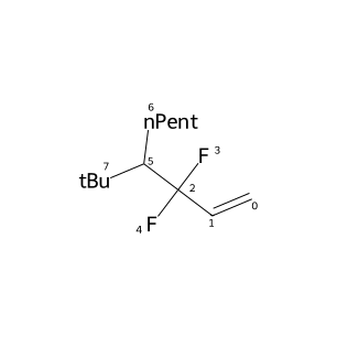 C=CC(F)(F)C(CCCCC)C(C)(C)C